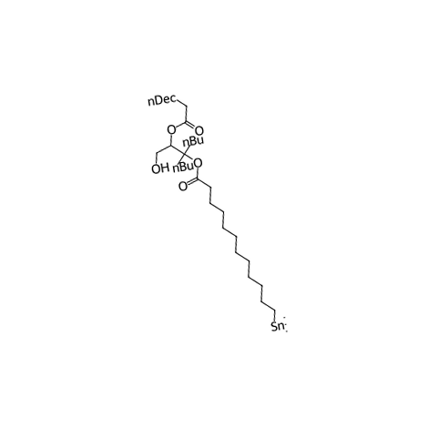 CCCCCCCCCCCC(=O)OC(CO)C(CCCC)(CCCC)OC(=O)CCCCCCCCCC[CH2][Sn]